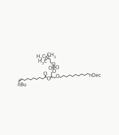 CCCC/C=C\CCCCCCCC(=O)O[C@H](COCCCCCCCCCCCCCCCCCCCC)COP(=O)([O-])OCC[N+](C)(C)C